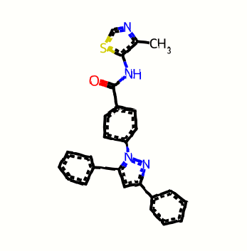 Cc1ncsc1NC(=O)c1ccc(-n2nc(-c3ccccc3)cc2-c2ccccc2)cc1